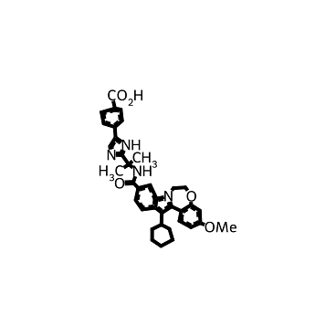 COc1ccc2c(c1)OCCn1c-2c(C2CCCCC2)c2ccc(C(=O)NC(C)(C)c3ncc(-c4ccc(C(=O)O)cc4)[nH]3)cc21